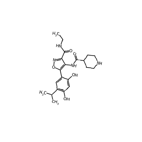 CCNC(=O)c1noc(-c2cc(C(C)C)c(O)cc2O)c1NC(=O)C1CCNCC1